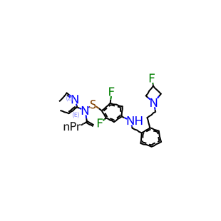 C=C(CCC)N(Sc1c(F)cc(NCc2ccccc2CCN2CC(F)C2)cc1F)C(=C/C)/N=C\C